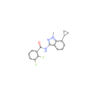 Cn1nc(NC(=O)c2cccc(F)c2F)c2cccc(C3CC3)c21